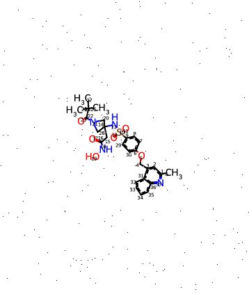 Cc1cc(COc2ccc(S(=O)(=O)NC3(CC(=O)NO)CN(C(=O)C(C)(C)C)C3)cc2)c2ccccc2n1